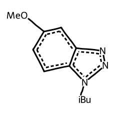 CCC(C)n1nnc2cc(OC)ccc21